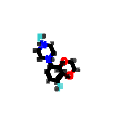 Fc1ccc(N2CCN(F)CC2)c2c1OCCO2